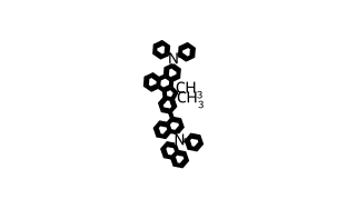 CC1(C)c2cc(-c3ccc(N(c4ccccc4)c4cccc5ccccc45)c4ccccc34)ccc2-c2c1c1ccc(N(c3ccccc3)c3ccccc3)cc1c1ccccc21